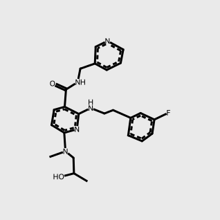 CC(O)CN(C)c1ccc(C(=O)NCc2cccnc2)c(NCCc2cccc(F)c2)n1